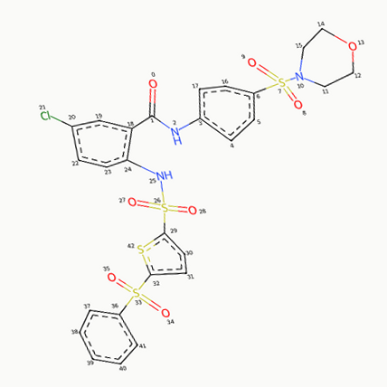 O=C(Nc1ccc(S(=O)(=O)N2CCOCC2)cc1)c1cc(Cl)ccc1NS(=O)(=O)c1ccc(S(=O)(=O)c2ccccc2)s1